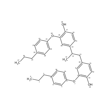 CCCc1ccc(Oc2cc(CC(C)c3ccc(O)c(Oc4ccc(CCC)cc4)c3)ccc2O)cc1